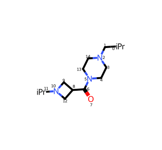 CC(C)CN1CCN(C(=O)C2CN(C(C)C)C2)CC1